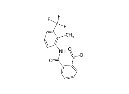 Cc1c(NC(=O)c2ccccc2[N+](=O)[O-])cccc1C(F)(F)F